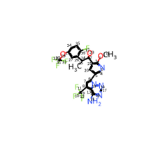 COc1ncc(-c2cc(C(F)(F)F)c3c(N)ncnn23)cc1C(=O)[C@H](C)c1cc(OC(F)(F)F)ccc1F